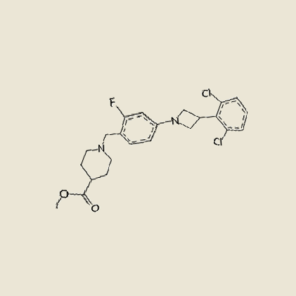 COC(=O)C1CCN(Cc2ccc(N3CC(c4c(Cl)cccc4Cl)C3)cc2F)CC1